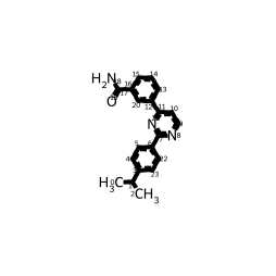 CC(C)c1ccc(-c2nccc(-c3cccc(C(N)=O)c3)n2)cc1